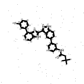 CC(C)(C)CC(=O)Nc1cncc(-c2ccc3[nH]nc(-c4nc5c(-c6cccc(F)c6)cncc5[nH]4)c3c2)c1